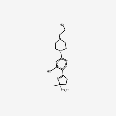 CCOC(=O)[C@@]1(C)CSC(c2ncc(N3CCN(CCO)CC3)cc2O)=N1